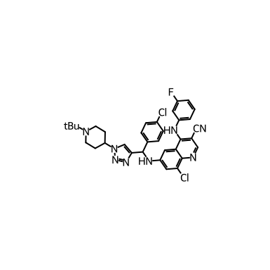 CC(C)(C)N1CCC(n2cc(C(Nc3cc(Cl)c4ncc(C#N)c(Nc5cccc(F)c5)c4c3)c3ccc(Cl)cc3)nn2)CC1